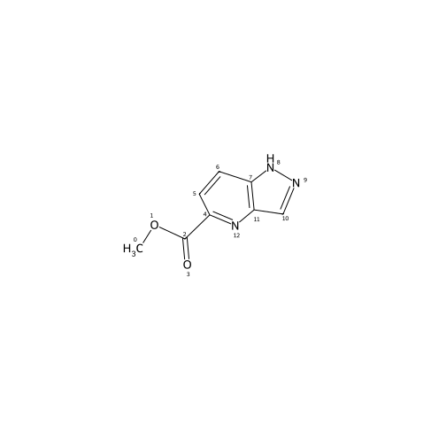 COC(=O)c1ccc2[nH]ncc2n1